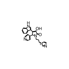 O=C1C(O)=C(c2c[nH]c3ccccc23)C(c2ccncc2)N1CCCn1ccnc1